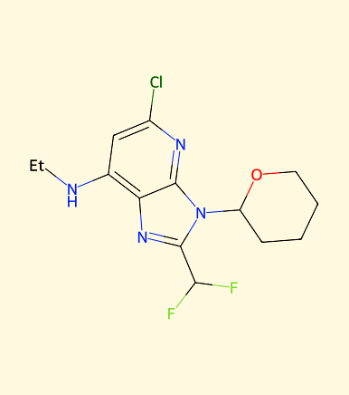 CCNc1cc(Cl)nc2c1nc(C(F)F)n2C1CCCCO1